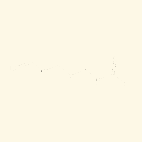 C=COCCCOC(C)=O